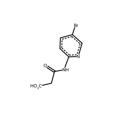 O=C(O)CC(=O)Nc1ccc(Br)cn1